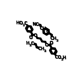 C=CC#N.C=CC=C.C=Cc1ccccc1.O=C(O)c1ccc(C(=O)OCCCCOC(=O)c2ccc(C(=O)O)cc2)cc1